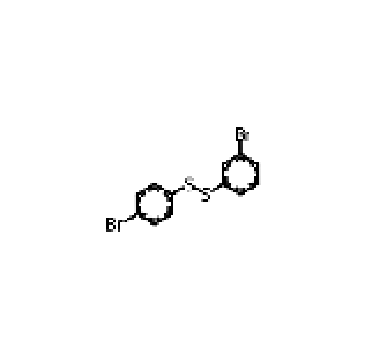 Brc1ccc(SSc2cccc(Br)c2)cc1